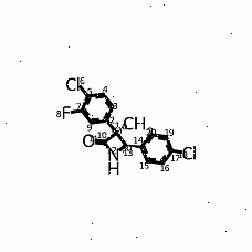 C[C@@]1(c2ccc(Cl)c(F)c2)C(=O)N[C@@H]1c1ccc(Cl)cc1